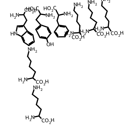 NC(Cc1c[nH]c2ccccc12)C(=O)O.NC(Cc1ccc(O)cc1)C(=O)O.NC(Cc1ccccc1)C(=O)O.NCCCCC(N)C(=O)O.NCCCCC(N)C(=O)O.NCCCCC(N)C(=O)O.NCCCCC(N)C(=O)O.NCCCCC(N)C(=O)O